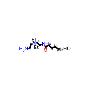 CC[N+](CC)(CCN)CCNC(=O)CCCCC=O